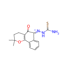 CC1(C)CCC2=C(O1)c1ccccc1/C(=N\NC(N)=S)C2=O